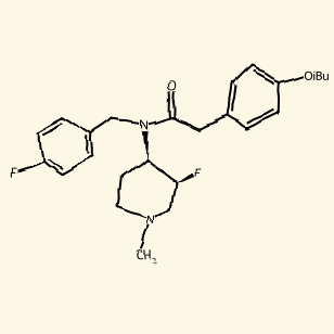 CC(C)COc1ccc(CC(=O)N(Cc2ccc(F)cc2)[C@@H]2CCN(C)C[C@@H]2F)cc1